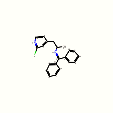 N#CC(Cc1ccnc(Cl)c1)N=C(c1ccccc1)c1ccccc1